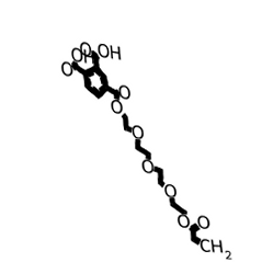 C=CC(=O)OCCOCCOCCOCCOC(=O)c1ccc(C(=O)O)c(C(=O)O)c1